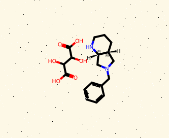 O=C(O)C(O)C(O)C(=O)O.c1ccc(CN2C[C@H]3CCCN[C@H]3C2)cc1